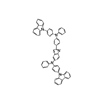 c1ccc(N(c2ccc(-c3nc4ccc(N(c5ccccc5)c5ccc(-n6c7ccccc7c7ccccc76)cc5)cc4s3)cc2)c2ccc(-n3c4ccccc4c4ccccc43)cc2)cc1